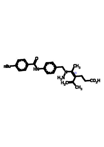 C=C(C)/C(CCC(=O)O)=C(/C)N(N)Cc1ccc(NC(=O)c2ccc(CCCC)cc2)cc1